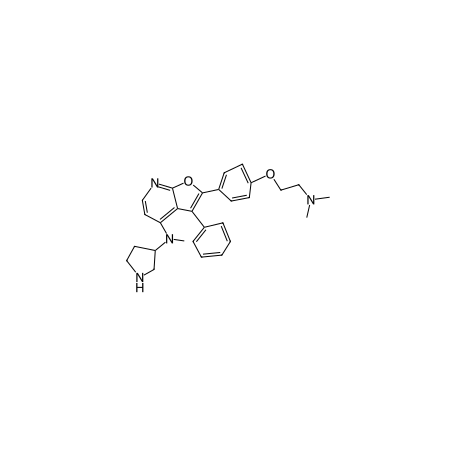 CN(C)CCOc1ccc(-c2oc3nccc(N(C)C4CCNC4)c3c2-c2ccccc2)cc1